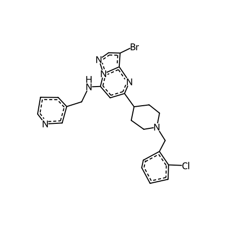 Clc1ccccc1CN1CCC(c2cc(NCc3cccnc3)n3ncc(Br)c3n2)CC1